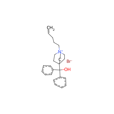 C=CCCC[N+]12CCC(C(O)(c3ccccc3)c3ccccc3)(CC1)CC2.[Br-]